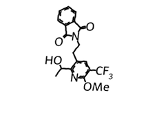 COc1nc(C(C)O)c(CCN2C(=O)c3ccccc3C2=O)cc1C(F)(F)F